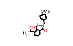 COc1ccc(Cn2ncc3c(C(C)O)cccc3c2=O)cc1